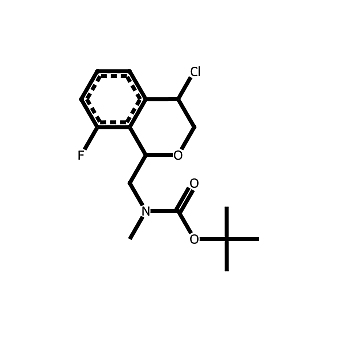 CN(CC1OCC(Cl)c2cccc(F)c21)C(=O)OC(C)(C)C